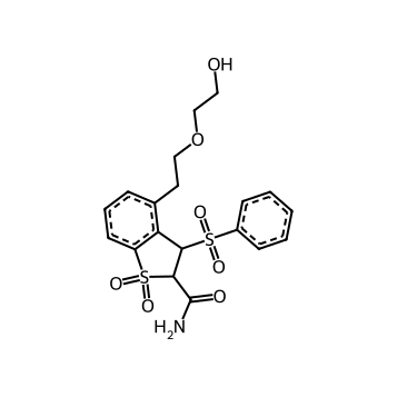 NC(=O)C1C(S(=O)(=O)c2ccccc2)c2c(CCOCCO)cccc2S1(=O)=O